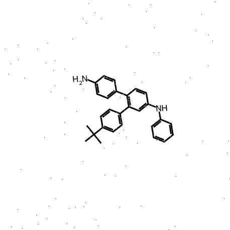 CC(C)(C)c1ccc(-c2cc(Nc3ccccc3)ccc2-c2ccc(N)cc2)cc1